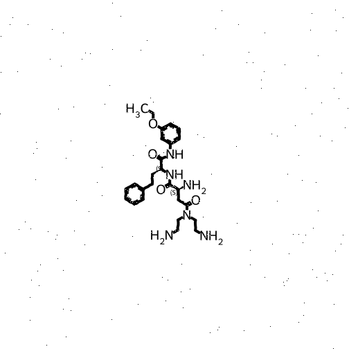 CCOc1cccc(NC(=O)[C@H](CCc2ccccc2)NC(=O)[C@@H](N)CC(=O)N(CCN)CCN)c1